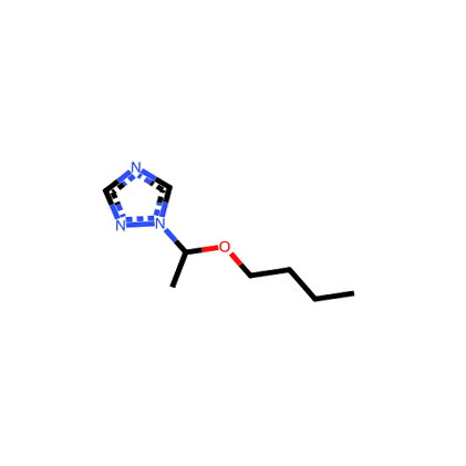 CCCCOC(C)n1cncn1